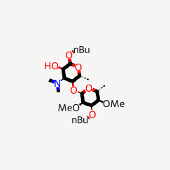 CCCCOC1O[C@H](C)[C@@H](O[C@@H]2O[C@H](C)[C@@H](OC)[C@H](OCCCC)[C@H]2OC)[C@H](N(C)C)[C@H]1O